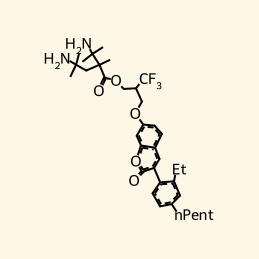 CCCCCc1ccc(-c2cc3ccc(OCC(COC(=O)C(C)(CC(C)(C)N)C(C)(C)N)C(F)(F)F)cc3oc2=O)c(CC)c1